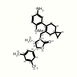 COc1ccc(N)cc1C1=C(CN2C(=O)O[C@H](c3cc(C)cc(C(F)(F)F)c3)[C@@H]2C)CC2(CC1)CC2